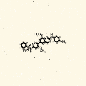 CCc1cc(-c2nnc(NS(=O)(=O)c3ccccc3Cl)cc2OC)cc2cnc(NC3CCC(N)CC3)nc12